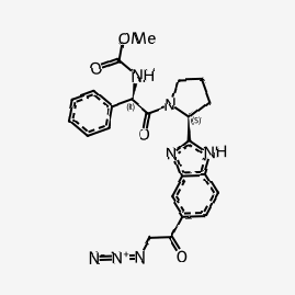 COC(=O)N[C@@H](C(=O)N1CCC[C@H]1c1nc2cc(C(=O)CN=[N+]=[N-])ccc2[nH]1)c1ccccc1